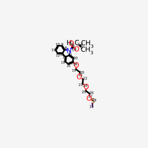 CC(C)(C)OC(=O)n1c2ccccc2c2ccc(OCCOCCOCCOSI)cc21